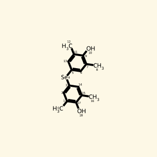 Cc1cc([Se]c2cc(C)c(O)c(C)c2)cc(C)c1O